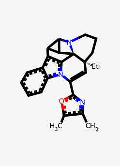 CC[C@]12C=C(c3nc(C)c(C)o3)n3c4c(c5ccccc53)C3C5C3[C@@]41N5CCC2